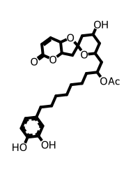 CC(=O)OC(CCCCCCCc1ccc(O)c(O)c1)CC1CC(O)CC2(CC3OC(=O)C=CC3O2)O1